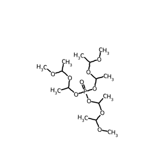 COC(C)OC(C)OP(=O)(OC(C)OC(C)OC)OC(C)OC(C)OC